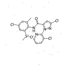 Cc1cc(Cl)cc([S+](C)[O-])c1NC(=O)c1cc(Cl)nn1-c1ncccc1Cl